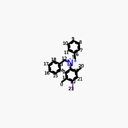 Cc1cc([N+](Cc2ccccc2)Cc2ccccc2)c(C)cc1I